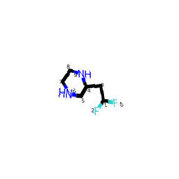 FC(F)CC1CNCCN1